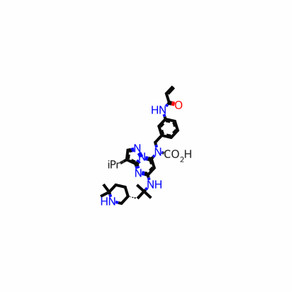 C=CC(=O)Nc1cccc(CN(C(=O)O)c2cc(NC(C)(C)C[C@H]3CCC(C)(C)NC3)nc3c(C(C)C)cnn23)c1